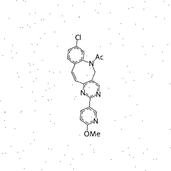 COc1ccc(-c2ncc3c(n2)C=Cc2ccc(Cl)cc2N(C(C)=O)C3)cn1